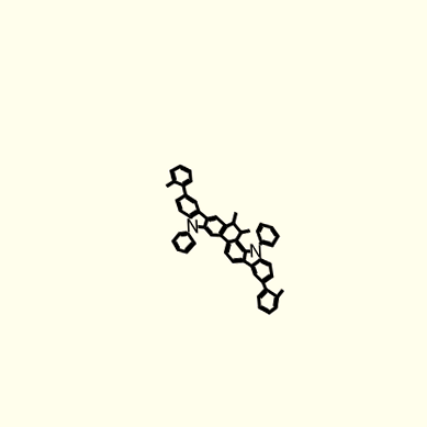 Cc1ccccc1-c1ccc2c(c1)c1cc3c(cc1n2-c1ccccc1)-c1ccc2c4cc(-c5ccccc5C)ccc4n(-c4ccccc4)c2c1C(C)C3C